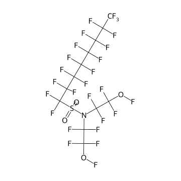 O=S(=O)(N(C(F)(F)C(F)(F)OF)C(F)(F)C(F)(F)OF)C(F)(F)C(F)(F)C(F)(F)C(F)(F)C(F)(F)C(F)(F)C(F)(F)C(F)(F)F